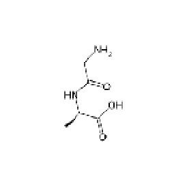 C[C@@H](NC(=O)CN)C(=O)O